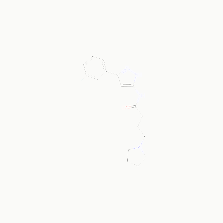 O=C(CCCN1CCCC1)Nc1cc(-c2cccc(F)c2)n[nH]1